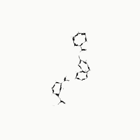 CC(=O)c1cccc(C(=O)Oc2ccc3ccc(OC(=O)c4ccccc4)cc3c2)c1